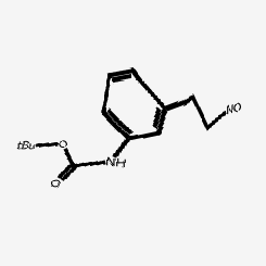 CC(C)(C)OC(=O)Nc1cccc(CCN=O)c1